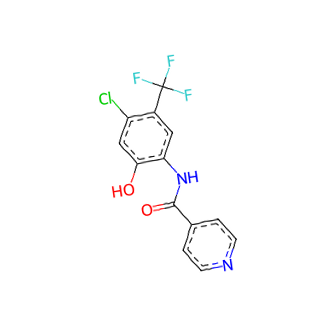 O=C(Nc1cc(C(F)(F)F)c(Cl)cc1O)c1ccncc1